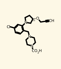 C#CCO[C@H]1CCN(c2cc(Cl)ccc2CN2CCN(C(=O)O)CC2)C1